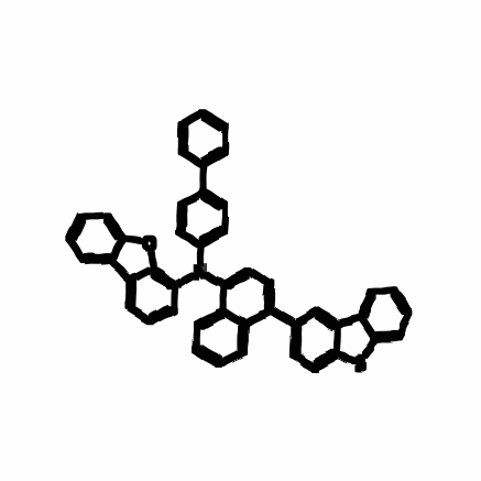 c1ccc(-c2ccc(N(c3ccc(-c4ccc5sc6ccccc6c5c4)c4ccccc34)c3cccc4c3oc3ccccc34)cc2)cc1